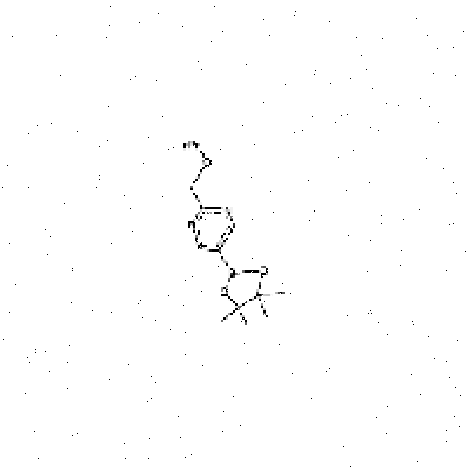 CCCOCc1ncc(B2OC(C)(C)C(C)(C)O2)cn1